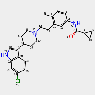 Cc1ccc(NC(=O)C2CC2)cc1CCN1CCC(c2c[nH]c3cc(Cl)ccc23)CC1